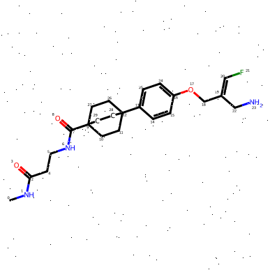 CNC(=O)CCNC(=O)C12CCC(c3ccc(OCC(=CF)CN)cc3)(CC1)CC2